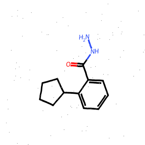 NNC(=O)c1ccccc1C1CCCC1